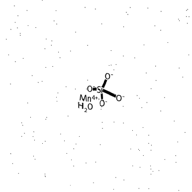 O.[Mn+4].[O-][Si]([O-])([O-])[O-]